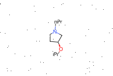 CCCN1CC[C@H](OC(C)C)C1